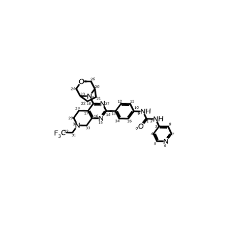 O=C(Nc1ccncc1)Nc1ccc(-c2nc3c(c(N4C5CCC4COC5)n2)CCN(CC(F)(F)F)C3)cc1